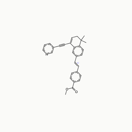 COC(=O)c1ccc(/C=C/c2ccc3c(c2)C(C#Cc2cccnc2)=CCC3(C)C)cc1